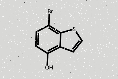 Oc1ccc(Br)c2sccc12